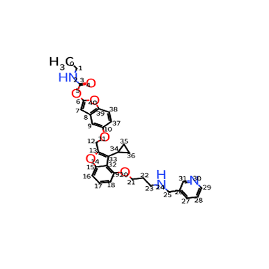 CCNC(=O)Oc1cc2cc(OCc3oc4cccc(OCCCNCc5cccnc5)c4c3C3CC3)ccc2o1